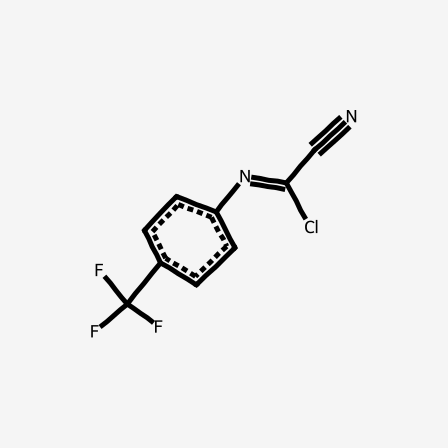 N#CC(Cl)=Nc1ccc(C(F)(F)F)cc1